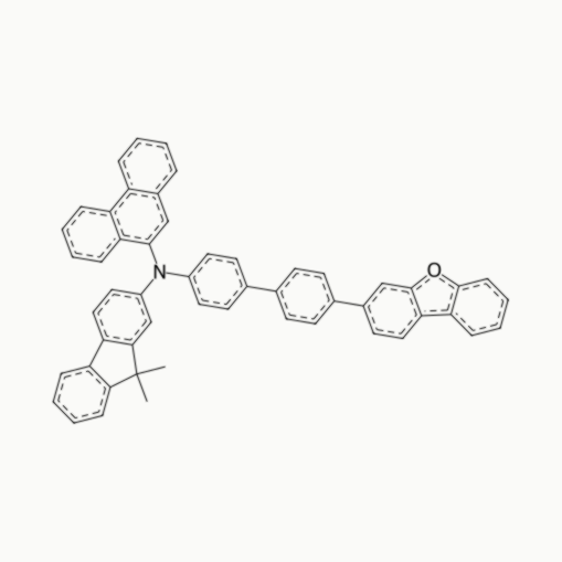 CC1(C)c2ccccc2-c2ccc(N(c3ccc(-c4ccc(-c5ccc6c(c5)oc5ccccc56)cc4)cc3)c3cc4ccccc4c4ccccc34)cc21